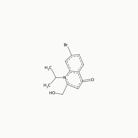 CC(C)n1c(CO)cc(=O)c2ccc(Br)cc21